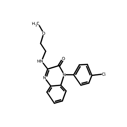 COCCNc1nc2ccccc2n(-c2ccc(Cl)cc2)c1=O